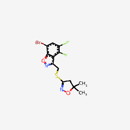 CC1(C)CC(SCc2noc3c(Br)cc(F)c(F)c23)=NO1